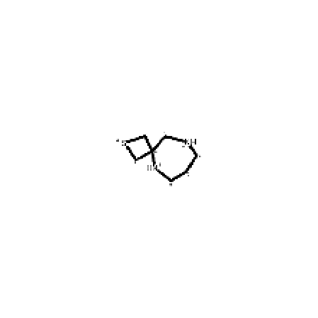 C1CNCC2(CSC2)NC1